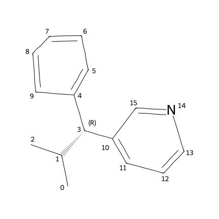 CC(C)[C@H](c1ccccc1)c1cccnc1